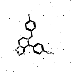 COc1ccc(C2c3nnnn3CCN2Cc2ccc(F)cc2)cc1